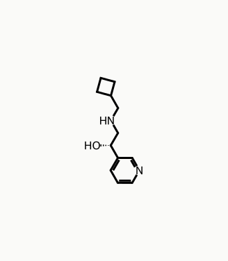 O[C@H](CNCC1CCC1)c1cccnc1